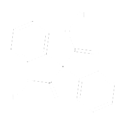 O=C(OO)C(C(=O)OO)(c1ccccc1)c1ccccc1